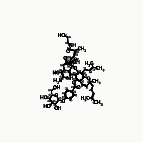 CC(C)=CCCC1(C)C=Cc2c(c(CC=C(C)C)c3c(c2OC(=O)c2ccc(O[C@@H]4O[C@H](CO)[C@@H](O)[C@H](O)[C@H]4O)cc2)C2=C4C(C(C#N)=C(N)N2)C2CC(C(C)C)C4(O3)C(O)(C/C=C(/C)C(=O)NCCO)C2=O)O1